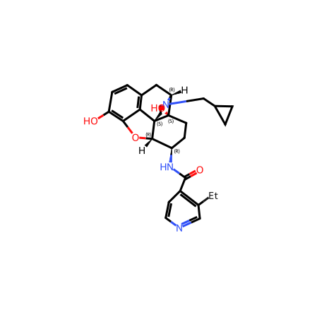 CCc1cnccc1C(=O)N[C@@H]1CC[C@@]2(O)[C@H]3Cc4ccc(O)c5c4[C@@]2(CCN3CC2CC2)[C@H]1O5